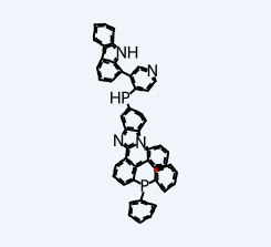 c1ccc(P(c2ccccc2)c2cccc3c2c2ccccc2n2c4ccc(Pc5ccncc5-c5cccc6c5[nH]c5ccccc56)cc4nc32)cc1